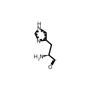 N[C@H]([C]=O)Cc1c[nH]cn1